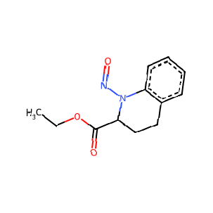 CCOC(=O)C1CCc2ccccc2N1N=O